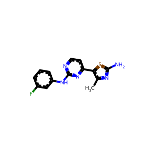 Cc1nc(N)sc1-c1ccnc(Nc2cccc(F)c2)n1